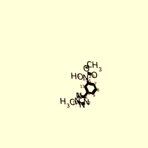 COC(=O)N(O)c1cccc(-c2nnn(C)n2)c1